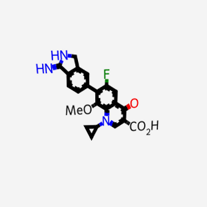 COc1c(-c2ccc3c(c2)CNC3=N)c(F)cc2c(=O)c(C(=O)O)cn(C3CC3)c12